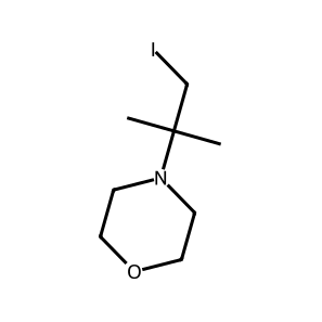 CC(C)(CI)N1CCOCC1